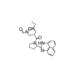 CCCCC(CN(O)C=O)C(=O)N1CCCC1C1=Nc2cccc3cccc(c23)N1